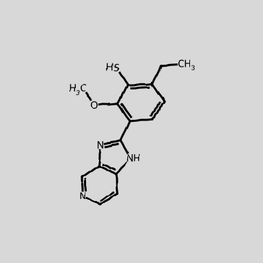 CCc1ccc(-c2nc3cnccc3[nH]2)c(OC)c1S